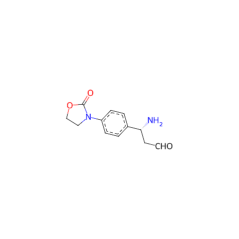 N[C@H](CC=O)c1ccc(N2CCOC2=O)cc1